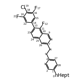 CCCCCCCc1ccc(CCc2ccc3c(F)c(-c4cc(F)c(Cl)c(F)c4)ccc3c2)cc1